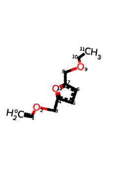 C=COCc1ccc(COCC)o1